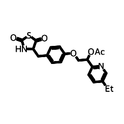 CCc1ccc(C(COc2ccc(CC3NC(=O)SC3=O)cc2)OC(C)=O)nc1